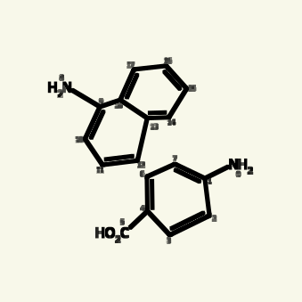 Nc1ccc(C(=O)O)cc1.Nc1cccc2ccccc12